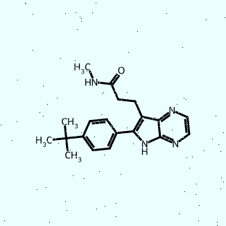 CNC(=O)CCc1c(-c2ccc(C(C)(C)C)cc2)[nH]c2nccnc12